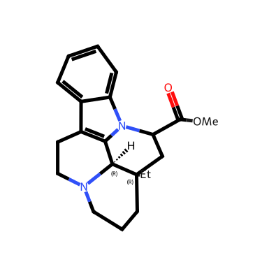 CC[C@@]12CCCN3CCc4c(n(c5ccccc45)C(C(=O)OC)C1)[C@H]32